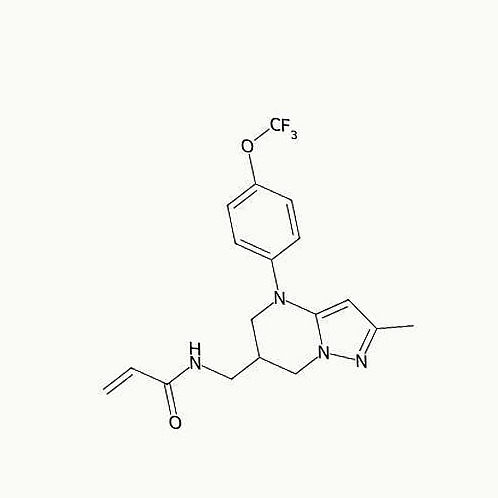 C=CC(=O)NCC1CN(c2ccc(OC(F)(F)F)cc2)c2cc(C)nn2C1